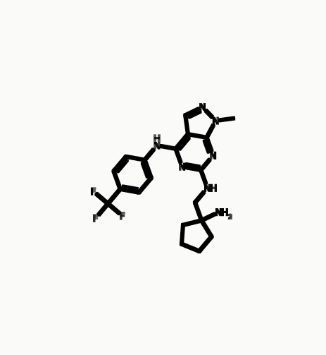 Cn1ncc2c(Nc3ccc(C(F)(F)F)cc3)nc(NCC3(N)CCCC3)nc21